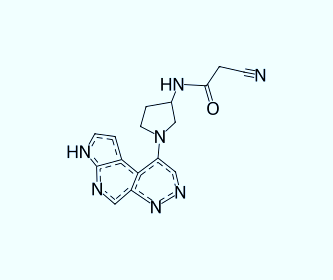 N#CCC(=O)NC1CCN(c2cnnc3cnc4[nH]ccc4c23)C1